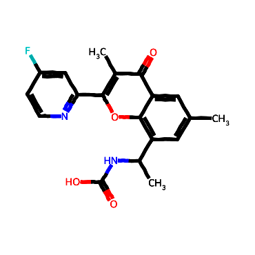 Cc1cc(C(C)NC(=O)O)c2oc(-c3cc(F)ccn3)c(C)c(=O)c2c1